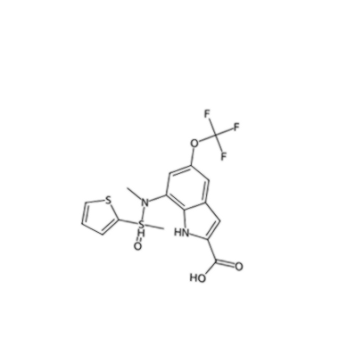 CN(c1cc(OC(F)(F)F)cc2cc(C(=O)O)[nH]c12)[SH](C)(=O)c1cccs1